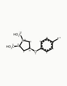 O=C(O)[C@@H]1C[C@H](Oc2ccc(F)cc2)CN1C(=O)O